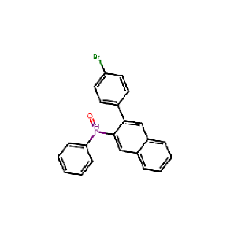 O=[PH](c1ccccc1)c1cc2ccccc2cc1-c1ccc(Br)cc1